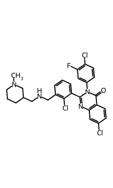 CN1CCCC(CNCc2cccc(-c3nc4cc(Cl)ccc4c(=O)n3-c3ccc(Cl)c(F)c3)c2Cl)C1